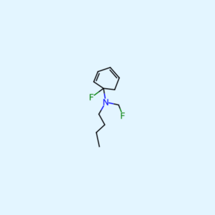 CCCCN(CF)C1(F)C=CC=CC1